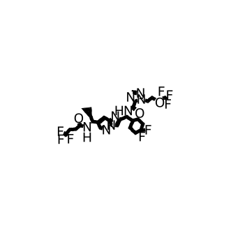 O=C(CCC(F)(F)F)N[C@@H](c1cnn2cc([C@@H](NC(=O)c3ncnn3CCOC(F)(F)F)C3CCC(F)(F)CC3)nc2c1)C1CC1